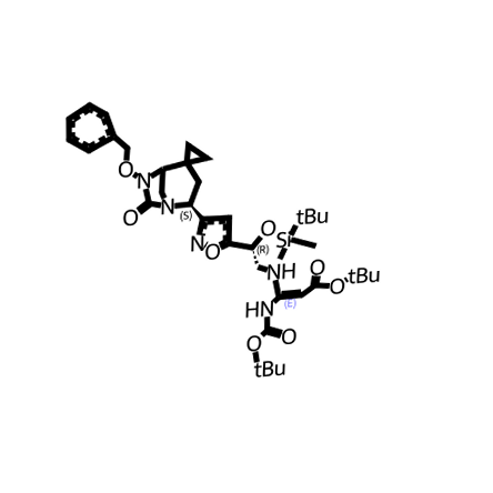 CC(C)(C)OC(=O)/C=C(\NC[C@@H](O[Si](C)(C)C(C)(C)C)c1cc([C@@H]2CC3(CC3)C3CN2C(=O)N3OCc2ccccc2)no1)NC(=O)OC(C)(C)C